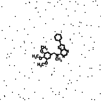 COc1cc(CN(C)c2ncnc3cc(-c4ccccc4)sc23)cc(OC)c1OC